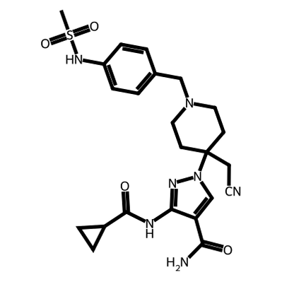 CS(=O)(=O)Nc1ccc(CN2CCC(CC#N)(n3cc(C(N)=O)c(NC(=O)C4CC4)n3)CC2)cc1